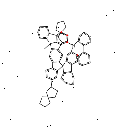 CC1(C)c2ccccc2-c2ccc(N(c3ccc4c(c3)C3(c5ccccc5-4)c4cc(C5CCC6(CCCC6)C5)ccc4-c4ccc(C5CCC6(CCCC6)C5)cc43)c3ccccc3-c3ccccc3)cc21